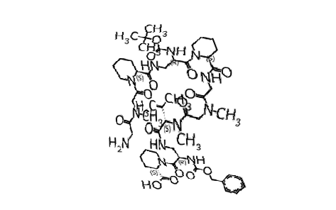 CC(C)[C@@H](C(=O)NC[C@@H](NC(=O)OCc1ccccc1)C(=O)N1CCCC[C@H]1C(=O)O)N(C)C(=O)CN(C)C(=O)CNC(=O)[C@@H]1CCCCN1C(=O)[C@@H](CNC(=O)[C@@H]1CCCCN1C(=O)CN(C)C(=O)CN)NC(=O)OC(C)(C)C